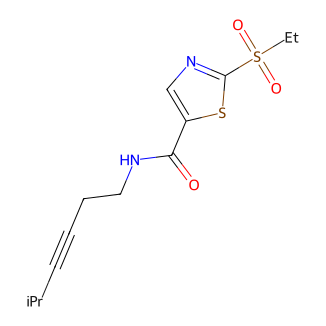 CCS(=O)(=O)c1ncc(C(=O)NCCC#CC(C)C)s1